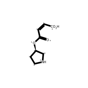 O=C(O)/C=C\C(=O)O[C@@H]1CCNC1